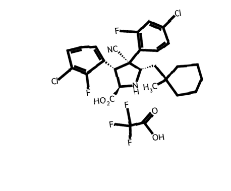 CC1(C[C@@H]2N[C@@H](C(=O)O)[C@H](c3cccc(Cl)c3F)[C@@]2(C#N)c2ccc(Cl)cc2F)CCCCC1.O=C(O)C(F)(F)F